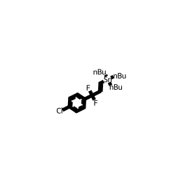 CCC[CH2][Sn]([CH]=CC(F)(F)c1ccc(Cl)cc1)([CH2]CCC)[CH2]CCC